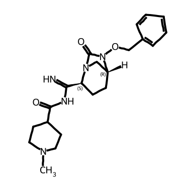 CN1CCC(C(=O)NC(=N)[C@@H]2CC[C@@H]3CN2C(=O)N3OCc2ccccc2)CC1